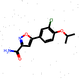 CC(C)Oc1ccc(-c2cc(C(N)=O)no2)cc1Cl